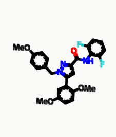 COc1ccc(Cn2nc(C(=O)Nc3c(F)cccc3F)cc2-c2cc(OC)ccc2OC)cc1